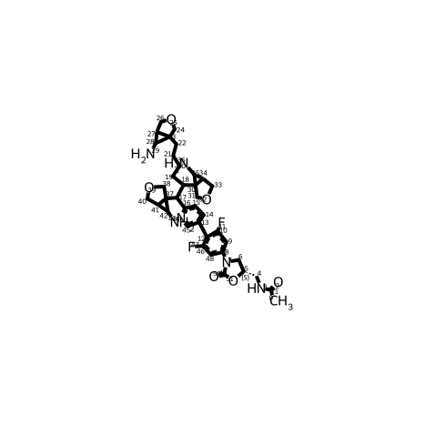 CC(=O)NC[C@H]1CN(c2cc(F)c(-c3ccc(C(C(CCCCC45COCC4C5N)C45COCC4C5N)C45COCC4C5N)nc3)c(F)c2)C(=O)O1